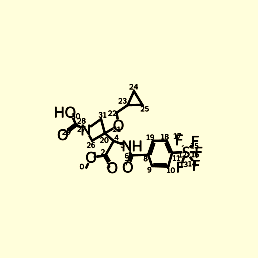 COC(=O)C(NC(=O)c1ccc(S(F)(F)(F)(F)F)cc1)C1(OCC2CC2)CN(C(=O)O)C1